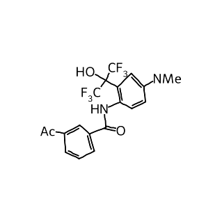 CNc1ccc(NC(=O)c2cccc(C(C)=O)c2)c(C(O)(C(F)(F)F)C(F)(F)F)c1